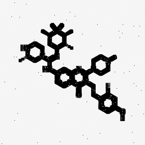 COc1ccc(CCn2c(N3CCN(C)CC3)nc3cc(NC(=NC4C[C@@H](C)C(C)(C)[C@@H](C)[C@@H]4C)N4CCN[C@@H](C)C4)ccc3c2=O)c(F)c1